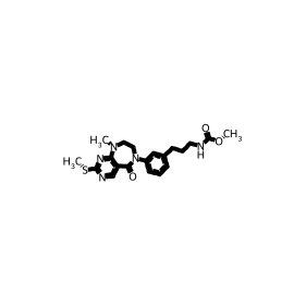 COC(=O)NCCCc1cccc(N2CCN(C)c3nc(SC)ncc3C2=O)c1